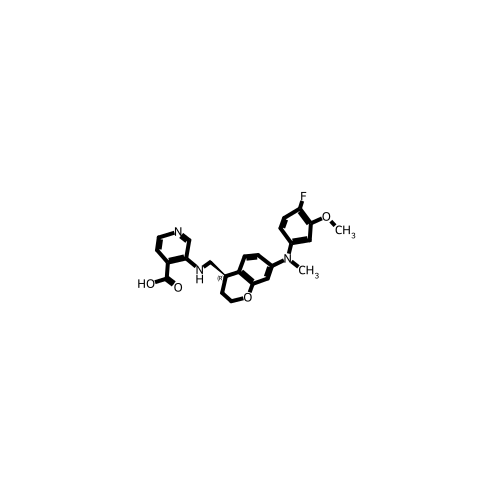 COc1cc(N(C)c2ccc3c(c2)OCC[C@H]3CNc2cnccc2C(=O)O)ccc1F